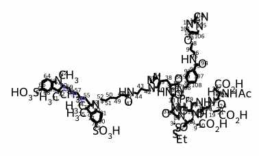 CCSSC[C@@H](NC(=O)[C@@H](CC(=O)O)NC(=O)[C@H](NC(=O)[C@@H](CCC(=O)O)NC(=O)[C@@H](CC(=O)O)NC(C)=O)C(C)C)C(=O)NCC(=O)NC(Cc1cn(CCCNC(=O)CCCCC[N+]2=C(/C=C/C=C/C=C3/N(C)c4ccc(S(=O)(=O)O)cc4C3(C)C)C(C)(C)c3cc(S(=O)(=O)O)ccc32)nn1)C(=O)NCc1ccc(C(=O)NCCCOc2cnc(C#N)nc2)cc1